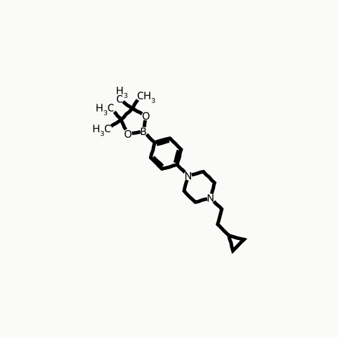 CC1(C)OB(c2ccc(N3CCN(CCC4CC4)CC3)cc2)OC1(C)C